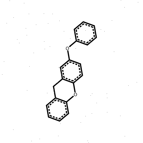 [c]1c(Oc2ccccc2)ccc2c1Cc1ccccc1O2